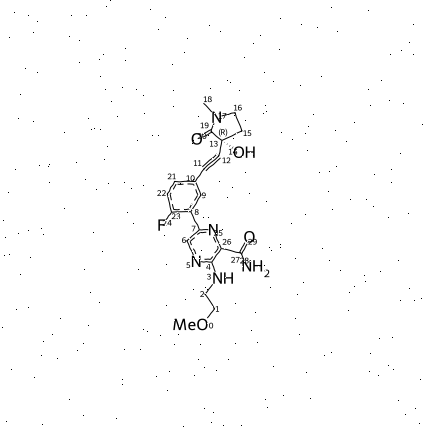 COCCNc1ncc(-c2cc(C#C[C@]3(O)CCN(C)C3=O)ccc2F)nc1C(N)=O